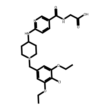 CCOc1cc(CN2CCC(Nc3ccc(C(=O)NCC(=O)O)cn3)CC2)cc(OCC)c1Cl